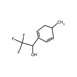 CC1C=CC(C(O)C(F)(F)F)=CC1